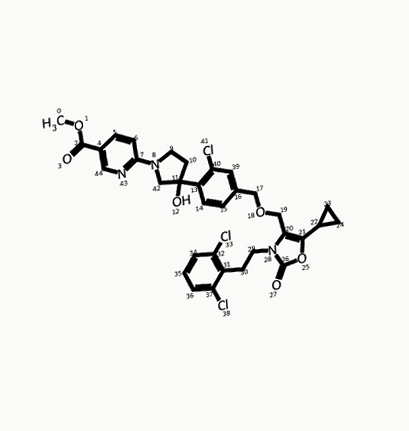 COC(=O)c1ccc(N2CCC(O)(c3ccc(COCc4c(C5CC5)oc(=O)n4CCc4c(Cl)cccc4Cl)cc3Cl)C2)nc1